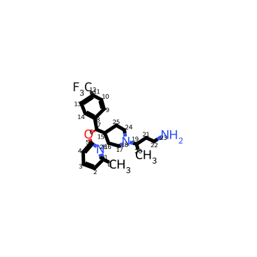 Cc1cccc(O[C@@H](c2ccc(C(F)(F)F)cc2)C2CCN(C(C)CCN)CC2)n1